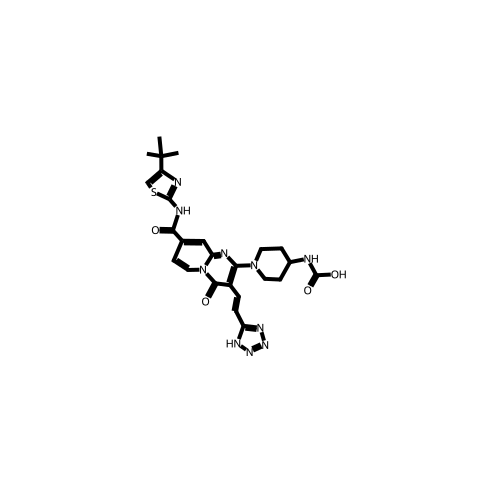 CC(C)(C)c1csc(NC(=O)c2ccn3c(=O)c(C=Cc4nnn[nH]4)c(N4CCC(NC(=O)O)CC4)nc3c2)n1